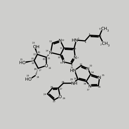 CC(C)=CCNc1ncnc2c1ncn2[C@@H]1O[C@H](CO)[C@@H](O)[C@H]1O.c1coc(CNc2[nH]cnc3ncnc2-3)c1